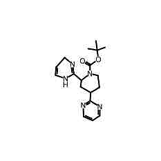 CC(C)(C)OC(=O)N1CCC(c2ncccn2)CC1C1=NCC=CN1